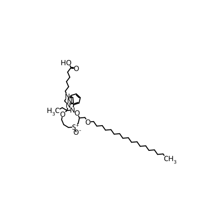 CCCCCCCCCCCCCCCCCCOCC1C[S+]([O-])CCCOC(CC)(N2CCN(CCCCCC(=O)O)C2)N(c2ccccn2)O1